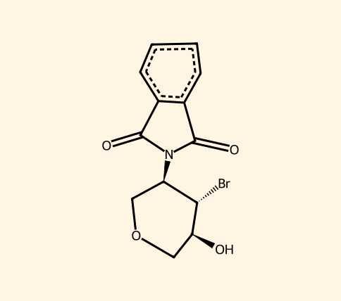 O=C1c2ccccc2C(=O)N1[C@@H]1COC[C@H](O)[C@H]1Br